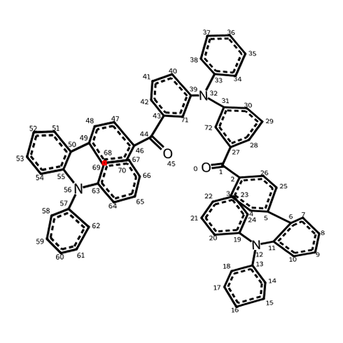 O=C(c1ccc(-c2ccccc2N(c2ccccc2)c2ccccc2)cc1)c1cccc(N(c2ccccc2)c2cccc(C(=O)c3ccc(-c4ccccc4N(c4ccccc4)c4ccccc4)cc3)c2)c1